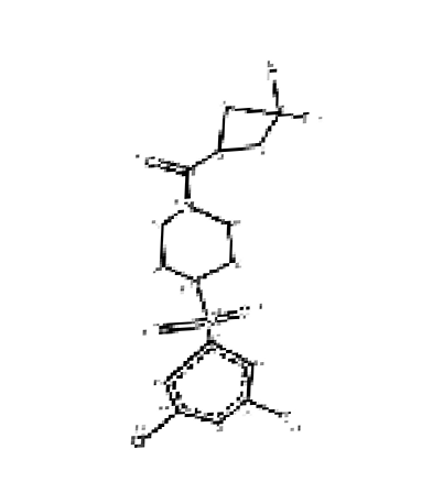 O=C(C1CC(F)(F)C1)N1CCN(S(=O)(=O)c2cc(Cl)cc(Cl)c2)CC1